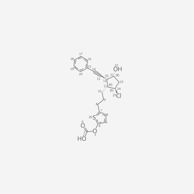 O=C(O)Oc1ccc(CCC[C@@H]2[C@@H](C#Cc3ccccc3)[C@H](O)C[C@H]2Cl)s1